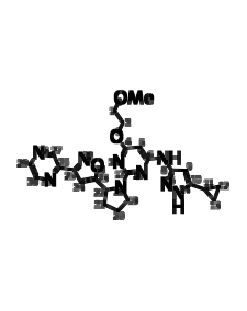 COCCOc1cc(Nc2cc(C3CC3)[nH]n2)nc(N2CCCC2c2cc(-c3cnccn3)no2)n1